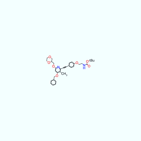 Cc1c(OCc2ccccc2)cc(OCC2COCCO2)nc1C#Cc1ccc(OCCNC(=O)OC(C)(C)C)cc1